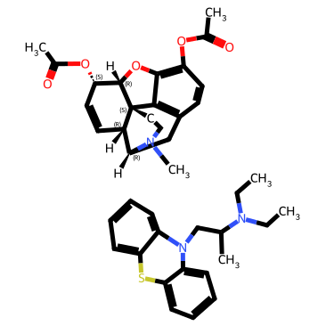 CC(=O)Oc1ccc2c3c1O[C@H]1[C@@H](OC(C)=O)C=C[C@H]4[C@@H](C2)N(C)CC[C@@]341.CCN(CC)C(C)CN1c2ccccc2Sc2ccccc21